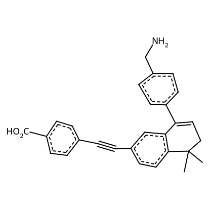 CC1(C)CC=C(c2ccc(CN)cc2)c2cc(C#Cc3ccc(C(=O)O)cc3)ccc21